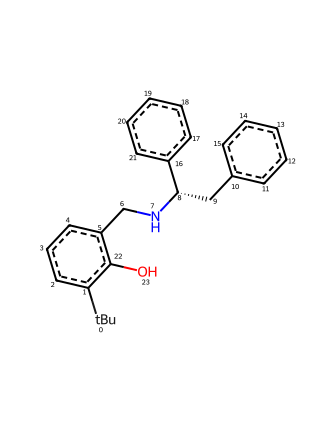 CC(C)(C)c1cccc(CN[C@@H](Cc2ccccc2)c2ccccc2)c1O